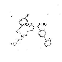 C=CCN(CCC[C@@H](C(=O)O)N(C=O)c1ccc(-c2cnccn2)cc1)[C@@H]1C[C@H]1c1ccc(F)cc1